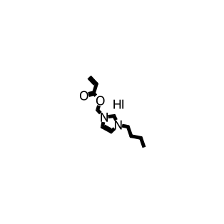 C=CC(=O)OCN1C=CN(CCCC)C1.I